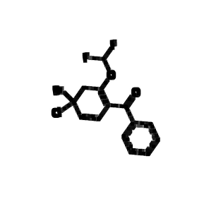 O=C(C1=C(OC(F)F)CC(Cl)(Br)C=C1)c1ccccc1